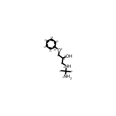 CC(C)(N)NCC(O)COc1ccccc1